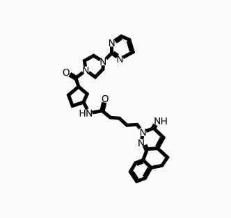 N=c1cc2c(nn1CCCCC(=O)NC1CCC(C(=O)N3CCN(c4ncccn4)CC3)C1)-c1ccccc1CC2